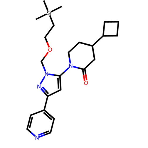 C[Si](C)(C)CCOCn1nc(-c2ccncc2)cc1N1CCC(C2CCC2)CC1=O